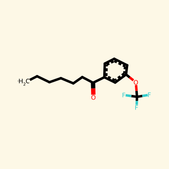 [CH2]CCCCCC(=O)c1cccc(OC(F)(F)F)c1